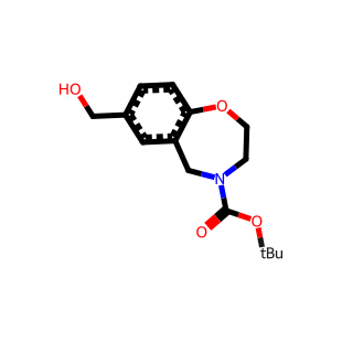 CC(C)(C)OC(=O)N1CCOc2ccc(CO)cc2C1